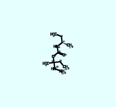 CC[C@H](C)NC(=O)OC(C)(CC)NN